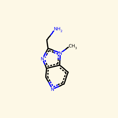 Cn1c(CN)nc2cnccc21